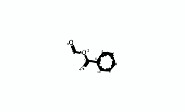 O=[C]OC(=S)c1ccccc1